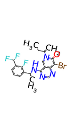 C=C(CC)n1cc2c(N[C@@H](C)c3cccc(C(F)F)c3F)ncnc2c(Br)c1=O